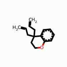 C=CCC1(CC=C)CCOc2ccccc21